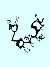 O=C(NC(O)C1CCC(F)(F)CC1)c1cc(Cc2cc[nH]c(=O)n2)ccc1Cl